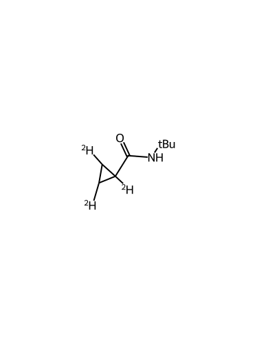 [2H]C1C([2H])C1([2H])C(=O)NC(C)(C)C